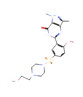 CCCc1nn(C)c2c(=O)[nH]c(-c3cc(S(=O)(=O)N4CCN(CCO[N+](=O)[O-])CC4)ccc3OCC)nc12